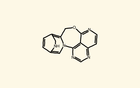 C1=CC2=C3COc4nccc5ncnc(c45)N3C=C1NC2